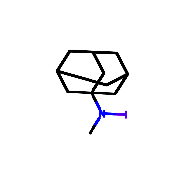 CN(I)C12CC3CC(CC(C3)C1)C2